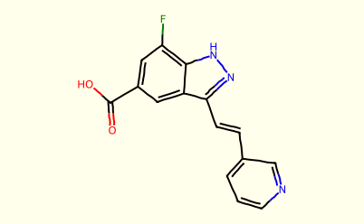 O=C(O)c1cc(F)c2[nH]nc(C=Cc3cccnc3)c2c1